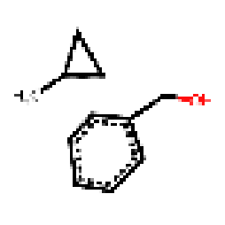 CC1CC1.OCc1ccccc1